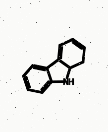 C1=CCC2Nc3ccccc3C2=C1